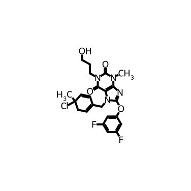 Cn1c(=O)n(CCCO)c(=O)c2c1nc(Oc1cc(F)cc(F)c1)n2CC1=CCC(C)(Cl)C=C1